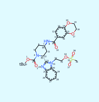 CC(C)(C)OC(=O)N1CC[C@@H](NC(=O)c2ccc3c(c2)OCCO3)C[C@@H]1c1nc2ccccc2n1CCOS(C)(=O)=O